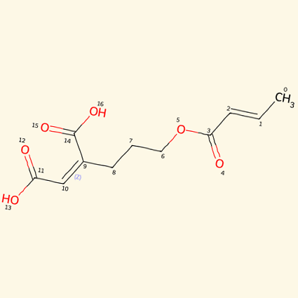 CC=CC(=O)OCCC/C(=C/C(=O)O)C(=O)O